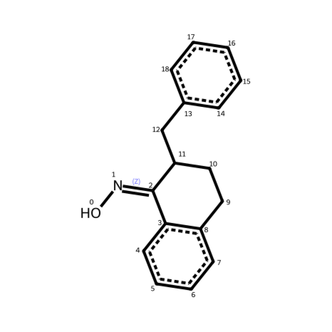 O/N=C1\c2ccccc2CCC1Cc1ccccc1